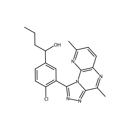 CCCC(O)c1ccc(Cl)c(-c2nnc3c(C)nc4ccc(C)nc4n23)c1